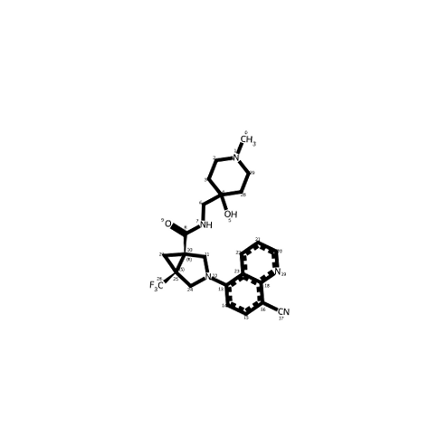 CN1CCC(O)(CNC(=O)[C@@]23CN(c4ccc(C#N)c5ncccc45)C[C@]2(C(F)(F)F)C3)CC1